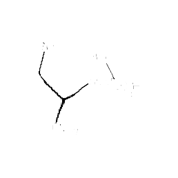 CCCCCCCCCC([CH2][Na])CCCCCCCC.O=S(=O)(O)O